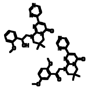 COc1ccc(OC)c(C(=O)CN2CC(C)(C)Cn3c2nc(-c2ccncn2)cc3=O)c1.COc1ccccc1C(O)CN1CC(C)(C)Cn2c1nc(-c1ccncn1)cc2=O